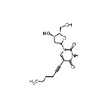 CCCCC#Cc1cn(C2C[C@@H](O)[C@@H](CO)O2)c(=O)[nH]c1=O